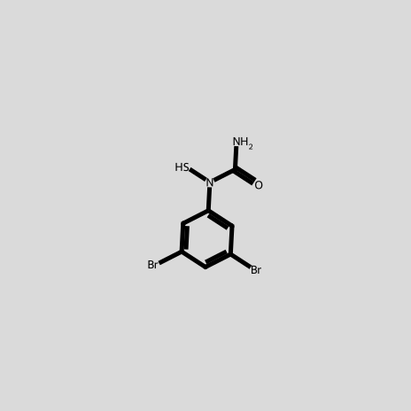 NC(=O)N(S)c1cc(Br)cc(Br)c1